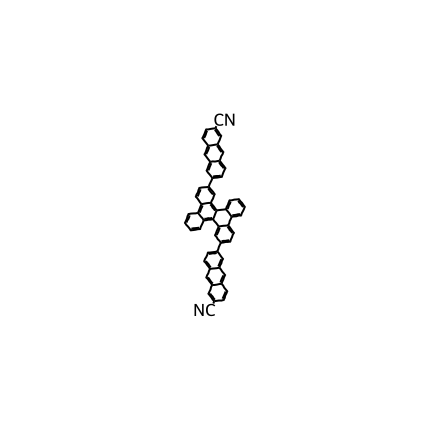 N#Cc1ccc2cc3cc(-c4ccc5c6ccccc6c6c7cc(-c8ccc9cc%10cc(C#N)ccc%10cc9c8)ccc7c7ccccc7c6c5c4)ccc3cc2c1